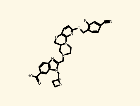 N#Cc1ccc(COc2ccc3c(n2)N2CCN(Cc4nc5ccc(C(=O)O)cc5n4C[C@@H]4CCO4)CC2CO3)c(F)c1